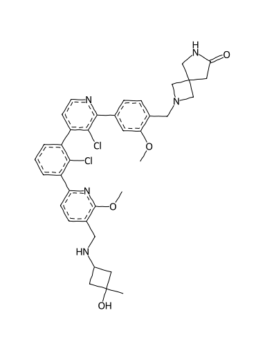 COc1cc(-c2nccc(-c3cccc(-c4ccc(CNC5CC(C)(O)C5)c(OC)n4)c3Cl)c2Cl)ccc1CN1CC2(CNC(=O)C2)C1